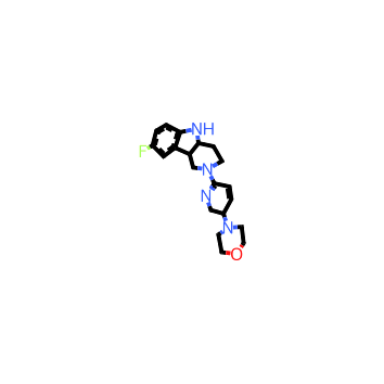 Fc1ccc2c(c1)C1CN(C3=NCC(N4CCOCC4)C=C3)CCC1N2